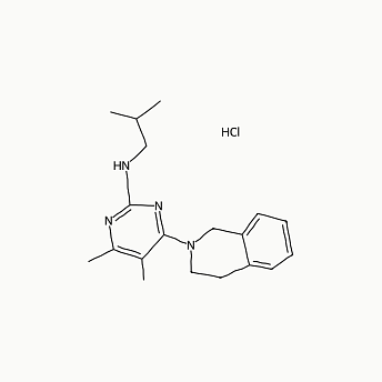 Cc1nc(NCC(C)C)nc(N2CCc3ccccc3C2)c1C.Cl